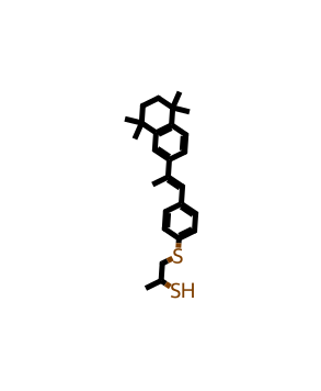 CC(=Cc1ccc(SCC(C)S)cc1)c1ccc2c(c1)C(C)(C)CCC2(C)C